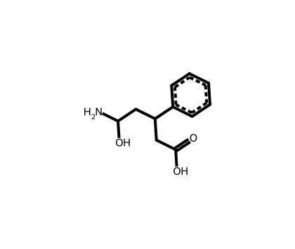 NC(O)CC(CC(=O)O)c1ccccc1